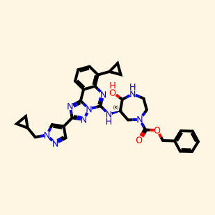 O=C(OCc1ccccc1)N1CCNC(O)[C@H](Nc2nc3c(C4CC4)cccc3c3nc(-c4cnn(CC5CC5)c4)nn23)C1